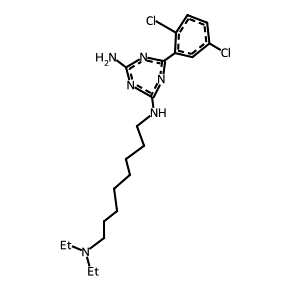 CCN(CC)CCCCCCCCNc1nc(N)nc(-c2cc(Cl)ccc2Cl)n1